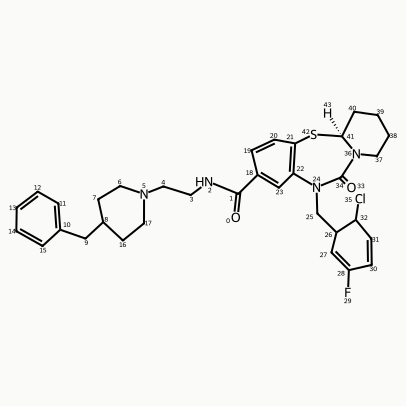 O=C(NCCN1CCC(Cc2ccccc2)CC1)c1ccc2c(c1)N(CC1C=C(F)C=CC1Cl)C(=O)N1CCCC[C@@H]1S2